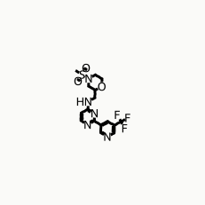 CS(=O)(=O)N1CCOC(CNc2ccnc(-c3cncc(C(F)(F)F)c3)n2)C1